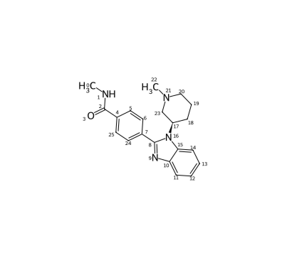 CNC(=O)c1ccc(-c2nc3ccccc3n2[C@@H]2CCCN(C)C2)cc1